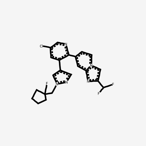 FC(F)c1cn2ccc(-c3ncc(Cl)cc3-c3cnn(CC4(F)CCCC4)c3)cc2n1